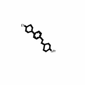 CCCC1CCC(CCc2ccc(C3CCC(CC)CC3)cc2)CC1